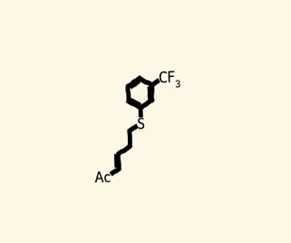 CC(=O)C=CCCSc1cccc(C(F)(F)F)c1